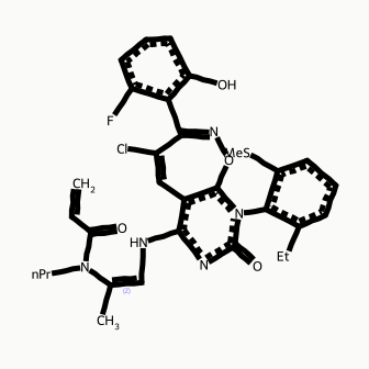 C=CC(=O)N(CCC)/C(C)=C\Nc1nc(=O)n(-c2c(CC)cccc2SC)c2c1C=C(Cl)C(c1c(O)cccc1F)=NO2